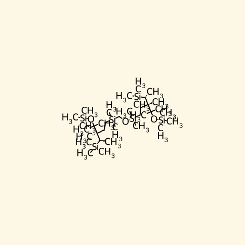 C[C@H]([C@](C)(CC[Si](C)(C)CO[Si](C)(C)CC[C@](C)([C@@H](C)[Si](C)(C)C)C(C)(C)O[Si](C)(C)C)C(C)(C)O[Si](C)(C)C)[Si](C)(C)C